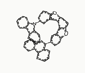 c1ccc2c(c1)cc(-c1ccc3oc4ccc5oc6ccc(-n7c8ccccc8c8ccccc87)cc6c5c4c3c1)c1ccccc12